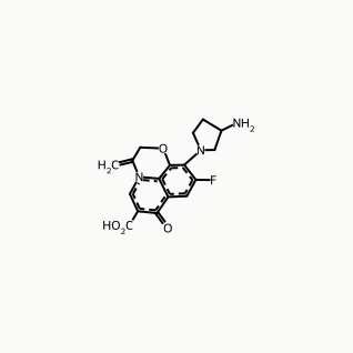 C=C1COc2c(N3CCC(N)C3)c(F)cc3c(=O)c(C(=O)O)cn1c23